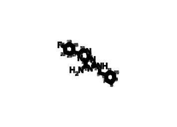 Nc1nc(NCc2ccccc2)nc2ncc(-c3ccc(F)cc3)nc12